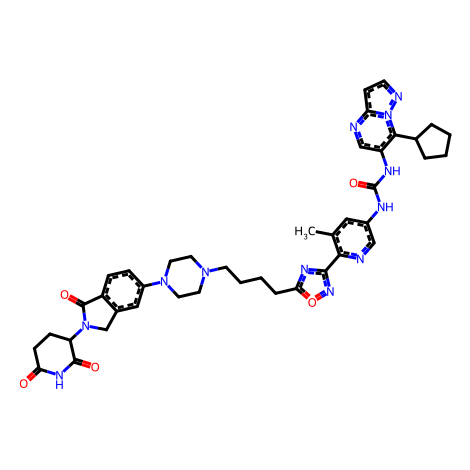 Cc1cc(NC(=O)Nc2cnc3ccnn3c2C2CCCC2)cnc1-c1noc(CCCCN2CCN(c3ccc4c(c3)CN(C3CCC(=O)NC3=O)C4=O)CC2)n1